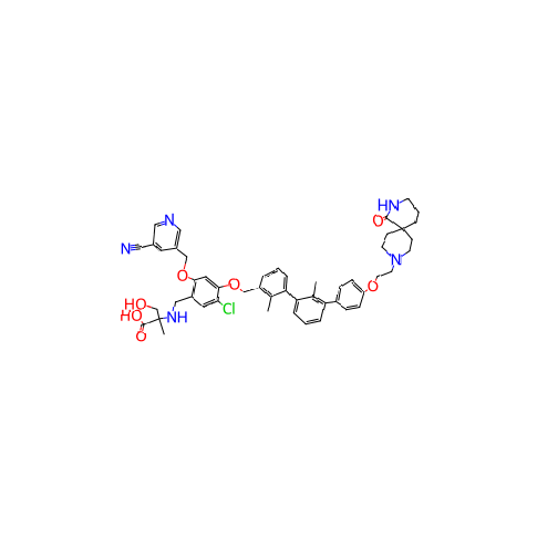 Cc1c(COc2cc(OCc3cncc(C#N)c3)c(CNC(C)(CO)C(=O)O)cc2Cl)cccc1-c1cccc(-c2ccc(OCCN3CCC4(CCCNC4=O)CC3)cc2)c1C